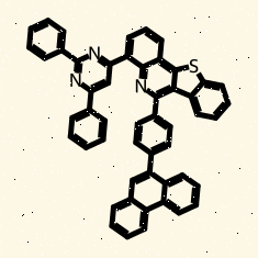 c1ccc(-c2cc(-c3cccc4c3nc(-c3ccc(-c5cc6ccccc6c6ccccc56)cc3)c3c5ccccc5sc43)nc(-c3ccccc3)n2)cc1